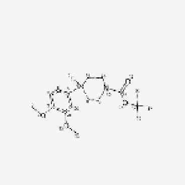 COc1ccc(C2(F)CCN(C(=O)OC(C)(C)C)CC2)cc1OC